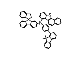 CC1(C)c2ccccc2-c2cccc(-c3ccc(N(c4ccc5c(c4)C4(CCc6ccccc64)c4ccccc4-5)c4cccc5sc6c7ccccc7ccc6c45)cc3)c21